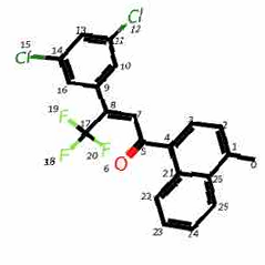 Cc1ccc(C(=O)C=C(c2cc(Cl)cc(Cl)c2)C(F)(F)F)c2ccccc12